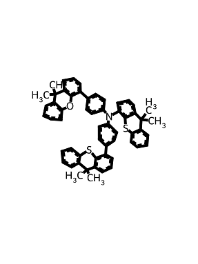 CC1(C)c2ccccc2Oc2c(-c3ccc(N(c4ccc(-c5cccc6c5Sc5ccccc5C6(C)C)cc4)c4cccc5c4Sc4ccccc4C5(C)C)cc3)cccc21